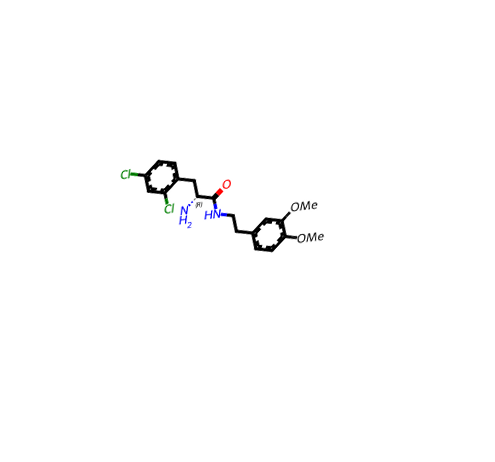 COc1ccc(CCNC(=O)[C@H](N)Cc2ccc(Cl)cc2Cl)cc1OC